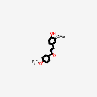 COc1cc(/C=C/C(=O)c2ccc(OC(F)(F)F)cc2)ccc1O